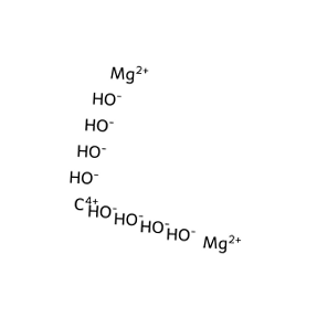 [C+4].[Mg+2].[Mg+2].[OH-].[OH-].[OH-].[OH-].[OH-].[OH-].[OH-].[OH-]